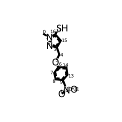 Cn1nc(COc2ccc([N+](=O)[O-])cc2)cc1S